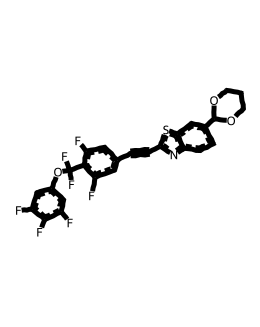 Fc1cc(OC(F)(F)c2c(F)cc(C#Cc3nc4ccc(C5OCCCO5)cc4s3)cc2F)cc(F)c1F